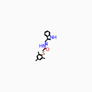 Cc1cc(C)c(SCC(=O)N/N=C/c2c[nH]c3ccccc23)c(C)c1